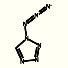 [N-]=[N+]=Nn1cnnn1